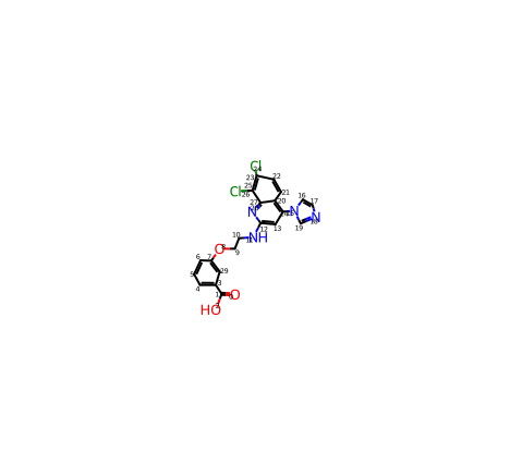 O=C(O)c1cccc(OCCNc2cc(-n3ccnc3)c3ccc(Cl)c(Cl)c3n2)c1